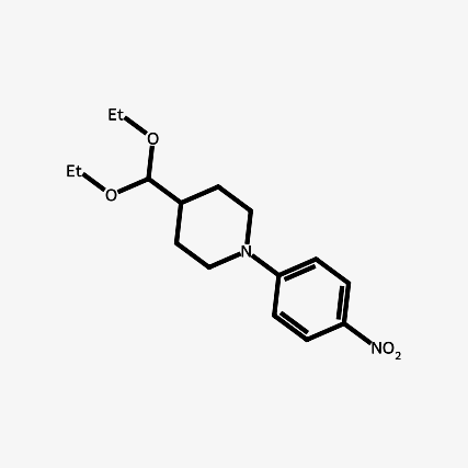 CCOC(OCC)C1CCN(c2ccc([N+](=O)[O-])cc2)CC1